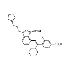 CCCCCn1cc(CCCN2CCCC2)c2cccc(/C=C(/c3ccc(C(=O)O)cc3C)C3CCCCC3)c21